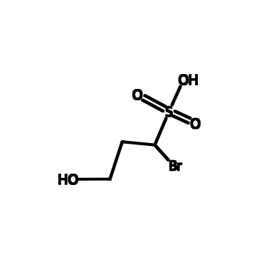 O=S(=O)(O)C(Br)CCO